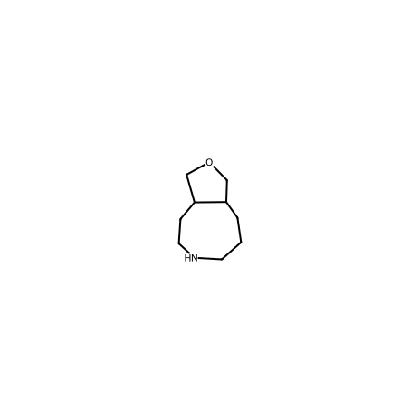 C1CNCCC2COCC2C1